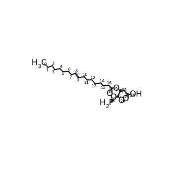 CCCCCCCC/C=C/CCCCCCCC(=O)O[C@@H](CC(=O)O)C(=O)OP